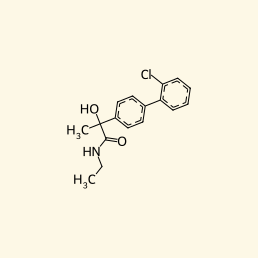 CCNC(=O)C(C)(O)c1ccc(-c2ccccc2Cl)cc1